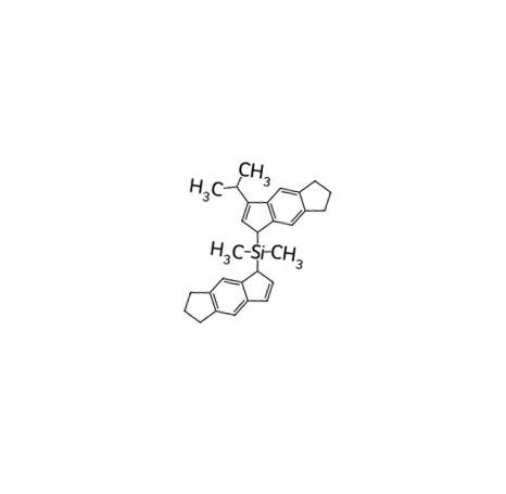 CC(C)C1=CC([Si](C)(C)C2C=Cc3cc4c(cc32)CCC4)c2cc3c(cc21)CCC3